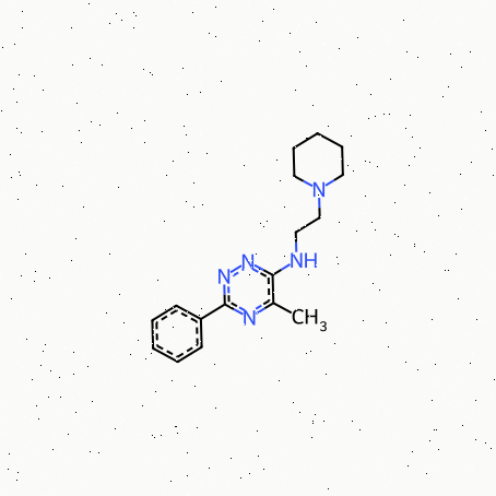 Cc1nc(-c2ccccc2)nnc1NCCN1CCCCC1